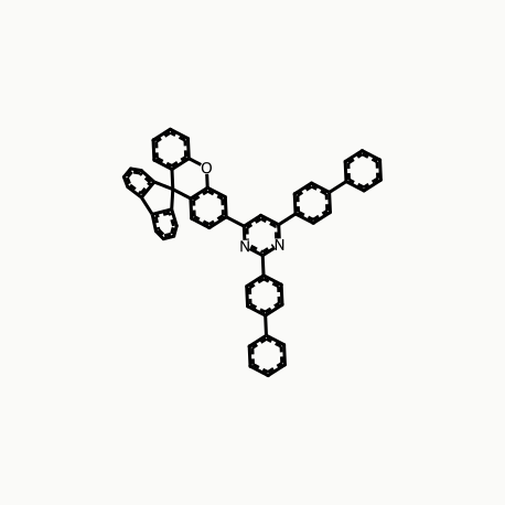 c1ccc(-c2ccc(-c3cc(-c4ccc5c(c4)Oc4ccccc4C54c5ccccc5-c5ccccc54)nc(-c4ccc(-c5ccccc5)cc4)n3)cc2)cc1